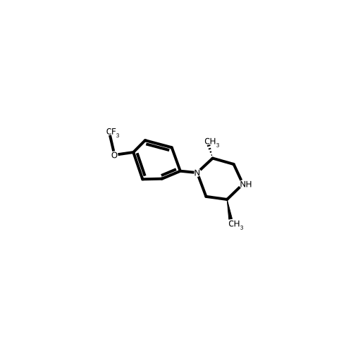 C[C@@H]1CN[C@@H](C)CN1c1ccc(OC(F)(F)F)cc1